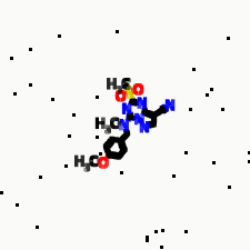 COc1ccc(CN(C)c2nc(S(C)(=O)=O)nc3c(C#N)cnn23)cc1